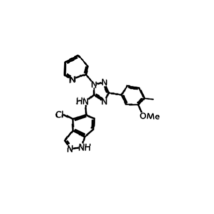 COc1cc(-c2nc(Nc3ccc4[nH]ncc4c3Cl)n(-c3ccccn3)n2)ccc1C